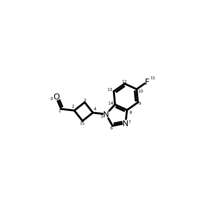 O=CC1CC(n2cnc3cc(F)ccc32)C1